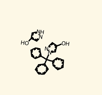 Oc1cn[nH]c1.Oc1cnn(C(c2ccccc2)(c2ccccc2)c2ccccc2)c1